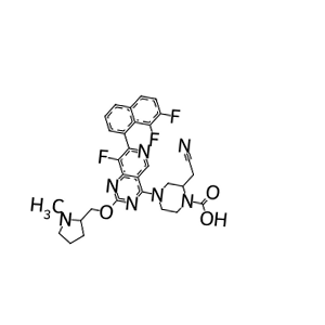 CN1CCCC1COc1nc(N2CCN(C(=O)O)C(CC#N)C2)c2cnc(-c3cccc4ccc(F)c(F)c34)c(F)c2n1